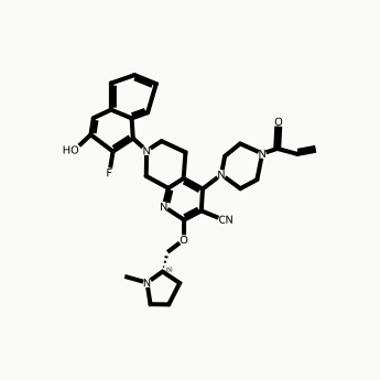 C=CC(=O)N1CCN(c2c(C#N)c(OC[C@@H]3CCCN3C)nc3c2CCN(c2c(F)c(O)cc4ccccc24)C3)CC1